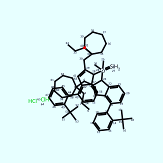 CCCC1(CC2=Cc3c(-c4ccccc4C(C)(C)C)cccc3[CH]2[Zr]([CH3])([CH3])(=[SiH2])[CH]2C(CC3(CCC)CCCCCC3)=Cc3c(-c4ccccc4C(C)(C)C)cccc32)CCCCCC1.Cl.Cl